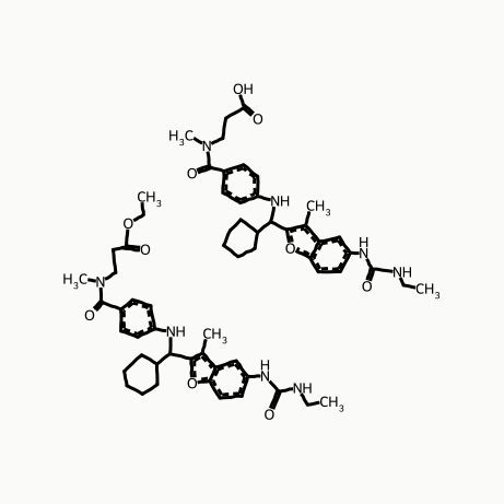 CCNC(=O)Nc1ccc2oc(C(Nc3ccc(C(=O)N(C)CCC(=O)O)cc3)C3CCCCC3)c(C)c2c1.CCNC(=O)Nc1ccc2oc(C(Nc3ccc(C(=O)N(C)CCC(=O)OCC)cc3)C3CCCCC3)c(C)c2c1